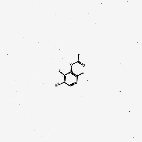 CC(=O)Oc1c(C)ccc(Br)c1C